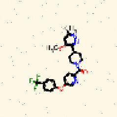 COc1cc(C)nnc1C1CCN(C(=O)c2ccc(Oc3ccc(C(F)(F)F)cc3)cn2)CC1